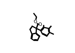 CCOC(=O)C1(c2ccc(C)c(C)c2C)CCc2ccccc21